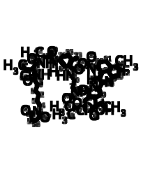 CC[C@@]1(O)C(=O)OCc2c1cc1n(c2=O)Cc2c-1nc1cc(F)c(C)c3c1c2[C@@H](NC(=O)OCc1ccc(NC(=O)[C@H](C)NC(=O)[C@@H](NC(=O)CCCCCN2C(=O)C=CC2=O)C(C)C)cc1C(=O)NCCNC(=O)OC(C)(C)C)CC3